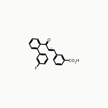 O=C(O)c1cccc(/C=C/C(=O)c2ccccc2-c2cccc(F)c2)c1